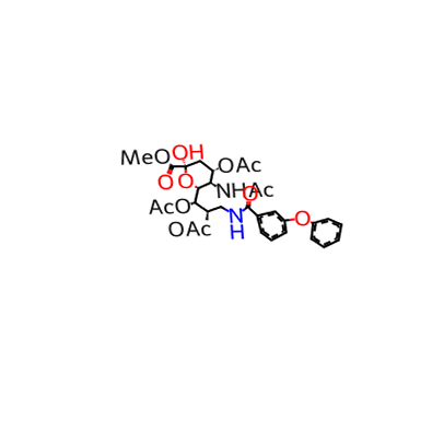 COC(=O)[C@@]1(O)C[C@H](OC(C)=O)[C@@H](NC(C)=O)[C@H]([C@H](OC(C)=O)[C@@H](CNC(=O)c2cccc(Oc3ccccc3)c2)OC(C)=O)O1